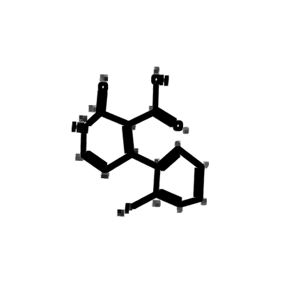 O=C(O)c1c(-c2ccccc2F)cc[nH]c1=O